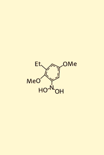 CCc1cc(OC)cc(N(O)O)c1OC